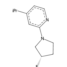 CC(C)c1ccnc(N2CC[C@H](F)C2)c1